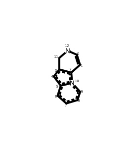 C1=Cc2c(cc3ccccn23)C[N]1